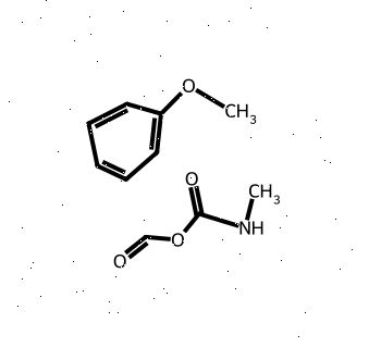 CNC(=O)OC=O.COc1ccccc1